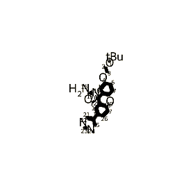 CC(C)(C)OCCOc1ccc2c(c1)[C@]1(COC(N)=N1)c1cc(-c3cncnc3)ccc1O2